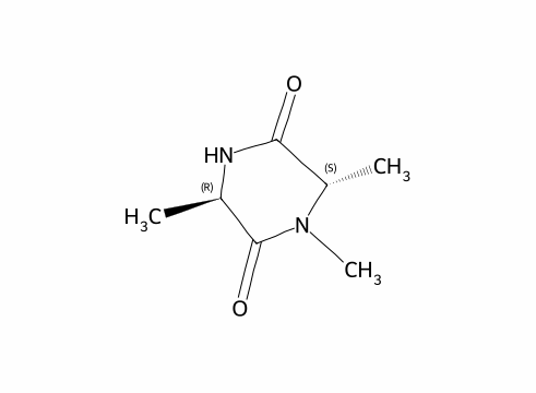 C[C@H]1NC(=O)[C@H](C)N(C)C1=O